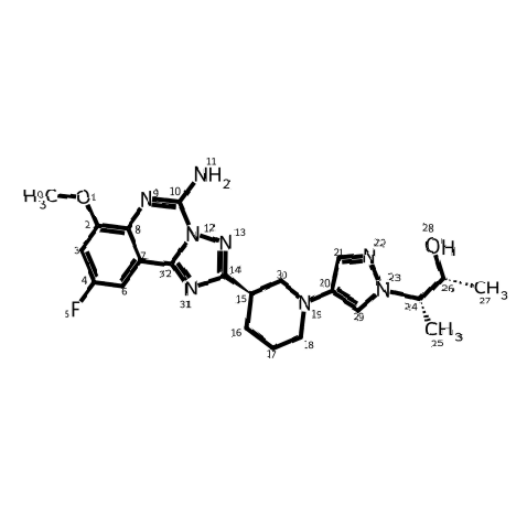 COc1cc(F)cc2c1nc(N)n1nc([C@@H]3CCCN(c4cnn([C@@H](C)[C@@H](C)O)c4)C3)nc21